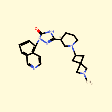 CN1CC2(CC(N3CCC[C@H](c4nn(-c5cccc6cnccc56)c(=O)[nH]4)C3)C2)C1